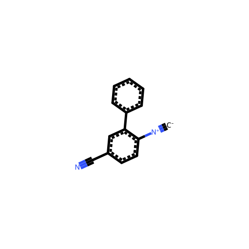 [C-]#[N+]c1ccc(C#N)cc1-c1ccccc1